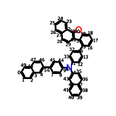 c1ccc2cc(-c3ccc(N(c4ccc(-c5cccc6oc7c8ccccc8ccc7c56)cc4)c4ccc5ccccc5c4)cc3)ccc2c1